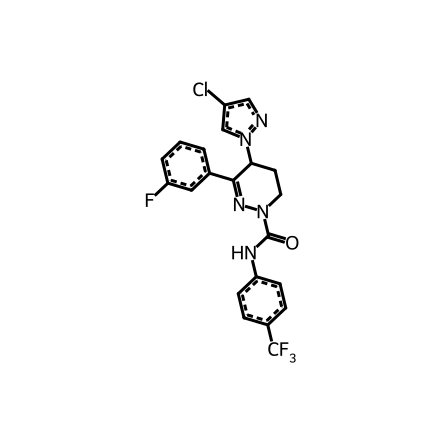 O=C(Nc1ccc(C(F)(F)F)cc1)N1CCC(n2cc(Cl)cn2)C(c2cccc(F)c2)=N1